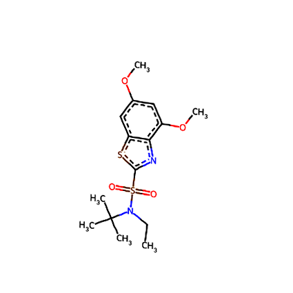 CCN(C(C)(C)C)S(=O)(=O)c1nc2c(OC)cc(OC)cc2s1